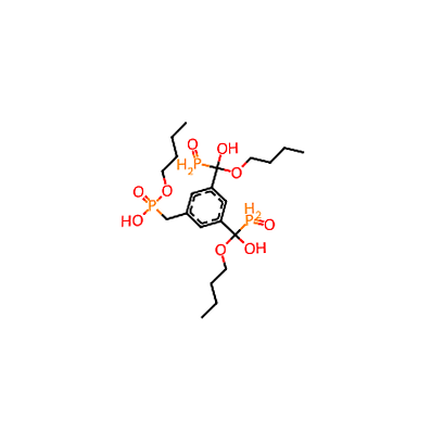 CCCCOC(O)([PH2]=O)c1cc(CP(=O)(O)OCCCC)cc(C(O)(OCCCC)[PH2]=O)c1